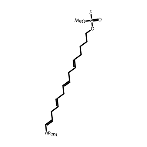 CCCCCC=CCC=CCC=CCC=CCCCCOP(=O)(F)OC